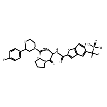 CC(C)(C)C(NC(=O)c1cc2cc(C(F)(F)P(=O)(O)O)ccc2s1)C(=O)N1CCC[C@H]1C(=O)N1CCOC(c2ccc(F)cc2)C1